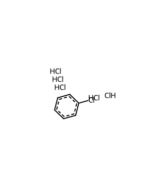 Cl.Cl.Cl.Cl.Cl.Clc1ccccc1